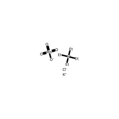 CC[N+](CC)(CC)CC.[Cl-].[K+].[O]=[Mn](=[O])(=[O])[O-]